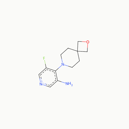 Nc1cncc(F)c1N1CCC2(CC1)COC2